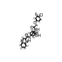 O=C(COc1ccc(Cl)c(F)c1)NC12CCC(NC(=O)c3cnc4ccccc4n3)(CC1)C[C@@H]2O